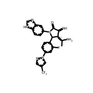 C/C(N)=C1/C(=N)C(=O)N(c2ccc3[nH]cnc3c2)C1c1ccc(-n2cc(C(F)(F)F)cn2)cc1F